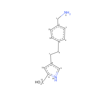 NCc1ccc(CCc2c[nH]c(C(=O)O)c2)cc1